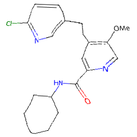 COc1cnc(C(=O)NC2CCCCC2)cc1Cc1ccc(Cl)nc1